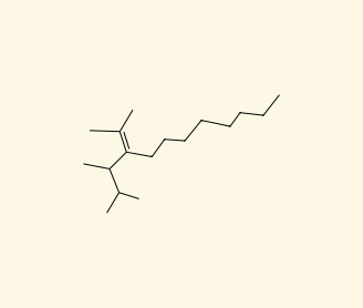 CCCCCCCCC(=C(C)C)C(C)C(C)C